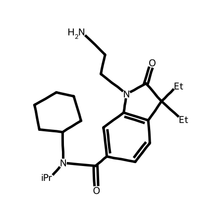 CCC1(CC)C(=O)N(CCN)c2cc(C(=O)N(C(C)C)C3CCCCC3)ccc21